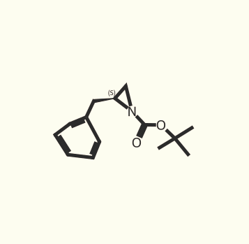 CC(C)(C)OC(=O)N1C[C@@H]1Cc1ccccc1